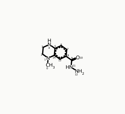 CN1CCNc2ccc(C(=O)NN)cc21